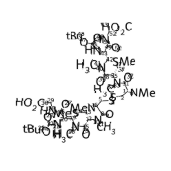 CN[C@@H](CSSC[C@H](NC)C(=O)N(C)[C@@H](CSC)C(=O)N(C)C[C@@H](NC(=O)OC(C)(C)C)C(=O)NCC(=O)O)C(=O)N(C)[C@@H](CSC)C(=O)N(C)C[C@H](NC(=O)OC(C)(C)C)C(=O)NCC(=O)O